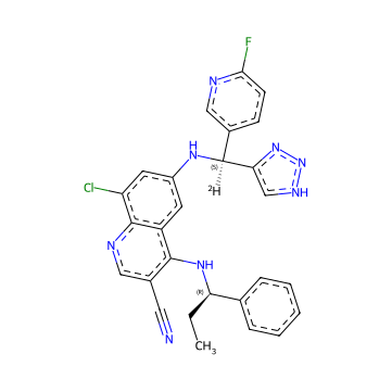 [2H][C@](Nc1cc(Cl)c2ncc(C#N)c(N[C@H](CC)c3ccccc3)c2c1)(c1ccc(F)nc1)c1c[nH]nn1